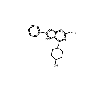 Cc1nc(N2CCC(O)CC2)c2[nH]c(-c3ccccc3)cc2n1